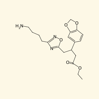 CCOC(=O)CC(Cc1nc(CCCCN)no1)c1ccc2c(c1)OCO2